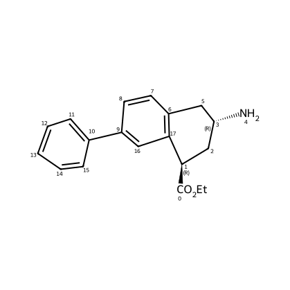 CCOC(=O)[C@@H]1C[C@@H](N)Cc2ccc(-c3ccccc3)cc21